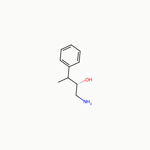 CC(c1ccccc1)[C@H](O)CN